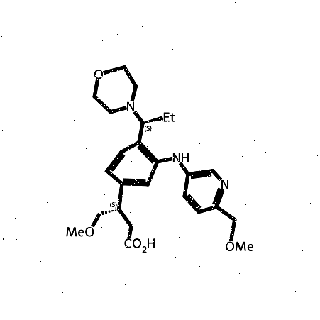 CC[C@@H](c1ccc([C@@H](COC)CC(=O)O)cc1Nc1ccc(COC)nc1)N1CCOCC1